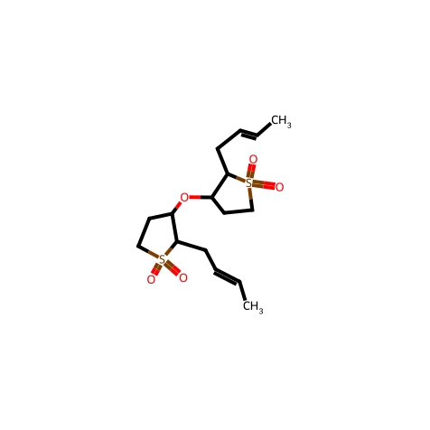 C/C=C/CC1C(OC2CCS(=O)(=O)C2C/C=C/C)CCS1(=O)=O